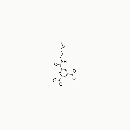 COC(=O)c1cc(C(=O)NCCCN(C)C)cc(C(=O)OC)c1